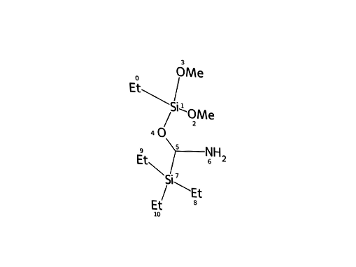 CC[Si](OC)(OC)OC(N)[Si](CC)(CC)CC